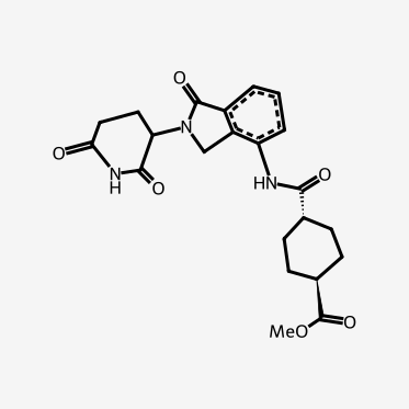 COC(=O)[C@H]1CC[C@H](C(=O)Nc2cccc3c2CN(C2CCC(=O)NC2=O)C3=O)CC1